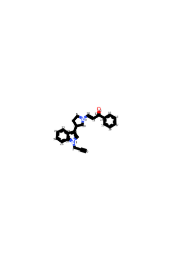 C#CCn1cc(C2CCN(C=CC(=O)c3ccccc3)C2)c2ccccc21